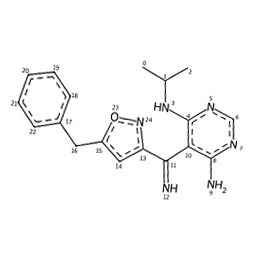 CC(C)Nc1ncnc(N)c1C(=N)c1cc(Cc2ccccc2)on1